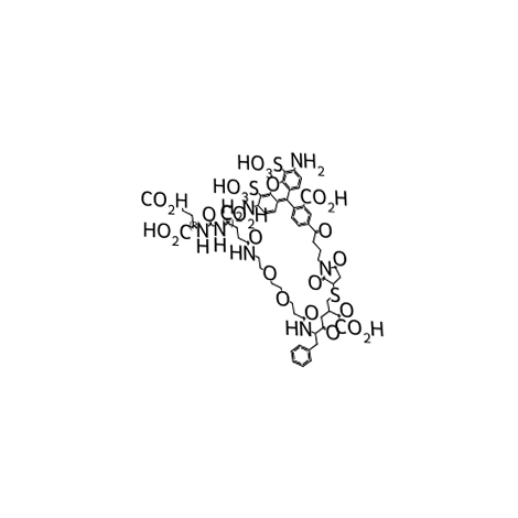 Nc1ccc2c(c1S(=O)(=O)O)OC1=C(S(=O)(=O)O)C(N)C=CC1=C2c1ccc(C(=O)CCCN2C(=O)CC(SCC(CC(=O)C(Cc3ccccc3)NC(=O)CCOCCOCCNC(=O)CC[C@@H](NC(=O)N[C@H](CCC(=O)O)C(=O)O)C(=O)O)C(=O)C(=O)O)C2=O)cc1C(=O)O